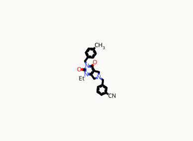 CCn1c2c(c(=O)n(Cc3ccc(C)cc3)c1=O)CN(Cc1cccc(C#N)c1)C2